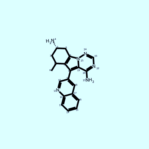 CC1C[C@H](N)Cc2c1c(-c1cnc3ccccc3c1)c1c(N)ncnn21